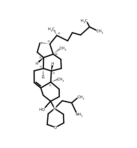 CC(C)CCC[C@@H](C)[C@H]1CC[C@H]2[C@@H]3CC=C4CC(O)([N+]5(CC(C)N)CCOCC5)CC[C@]4(C)[C@H]3CC[C@]12C